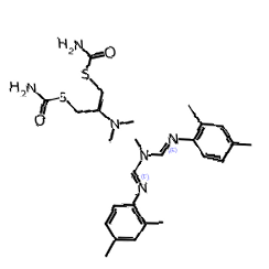 CN(C)C(CSC(N)=O)CSC(N)=O.Cc1ccc(/N=C/N(C)/C=N/c2ccc(C)cc2C)c(C)c1